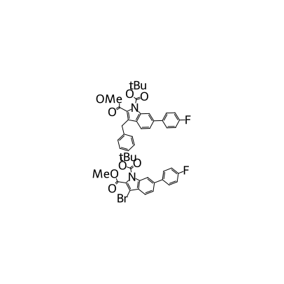 COC(=O)c1c(Br)c2ccc(-c3ccc(F)cc3)cc2n1C(=O)OC(C)(C)C.COC(=O)c1c(Cc2ccccc2)c2ccc(-c3ccc(F)cc3)cc2n1C(=O)OC(C)(C)C